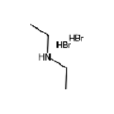 Br.Br.CCNCC